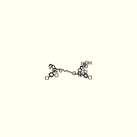 O=S(=O)(O)c1cc2c(s1)-c1c(c(COCCCCCCOCc3nn(-c4ccc(Cl)cc4Cl)c4c3Cc3ccsc3-4)nn1-c1ccc(Cl)cc1Cl)C2